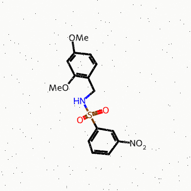 COc1ccc(CNS(=O)(=O)c2cccc([N+](=O)[O-])c2)c(OC)c1